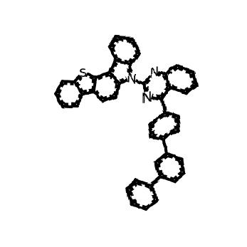 c1ccc(-c2cccc(-c3ccc(-c4nc(-n5c6ccccc6c6c7sc8ccccc8c7ccc65)nc5ccccc45)cc3)c2)cc1